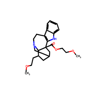 COCCOC(=O)C12CC3CC(CCOC)C1N(CCc1c2[nH]c2ccccc12)C3